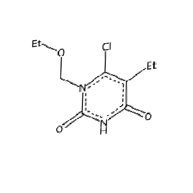 CCOCn1c(Cl)c(CC)c(=O)[nH]c1=O